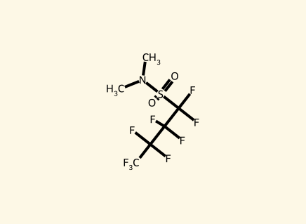 CN(C)S(=O)(=O)C(F)(F)C(F)(F)C(F)(F)C(F)(F)F